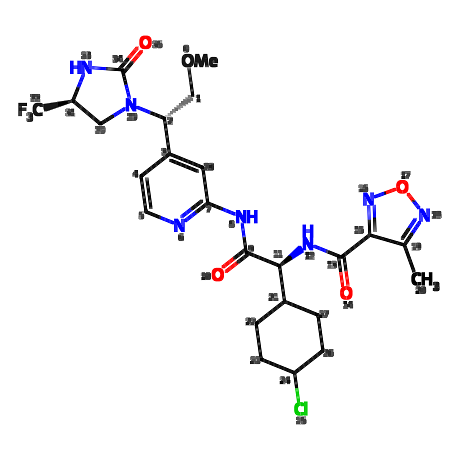 COC[C@H](c1ccnc(NC(=O)[C@@H](NC(=O)c2nonc2C)C2CCC(Cl)CC2)c1)N1C[C@@H](C(F)(F)F)NC1=O